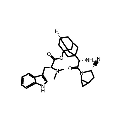 CN(C)[C@@H](Cc1c[nH]c2ccccc12)C(=O)OC12CC3C[C@H](C1)CC([C@H](N)C(=O)N1C4CC4C[C@H]1C#N)(C3)C2